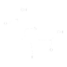 O=C(O)c1cc(F)c(C(=O)O)s1